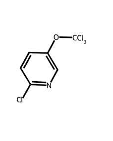 Clc1ccc(OC(Cl)(Cl)Cl)cn1